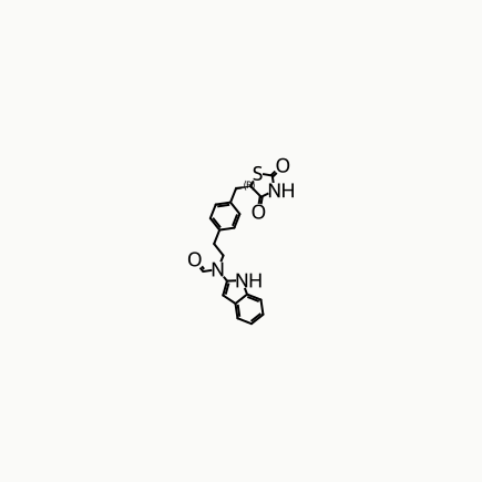 O=CN(CCc1ccc(C[C@H]2SC(=O)NC2=O)cc1)c1cc2ccccc2[nH]1